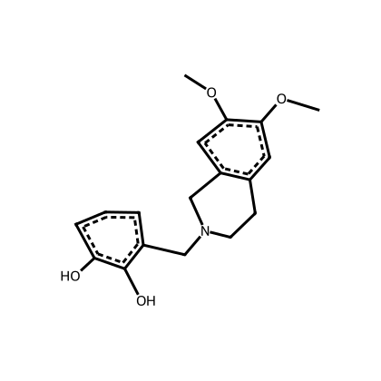 COc1cc2c(cc1OC)CN(Cc1cccc(O)c1O)CC2